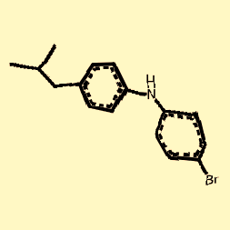 CC(C)Cc1ccc(Nc2ccc(Br)cc2)cc1